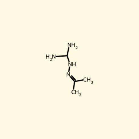 CC(C)=NNC(N)N